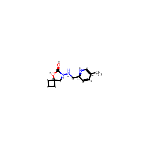 O=C1OC2(CCC2)CN1NCc1ccc(C(F)(F)F)cn1